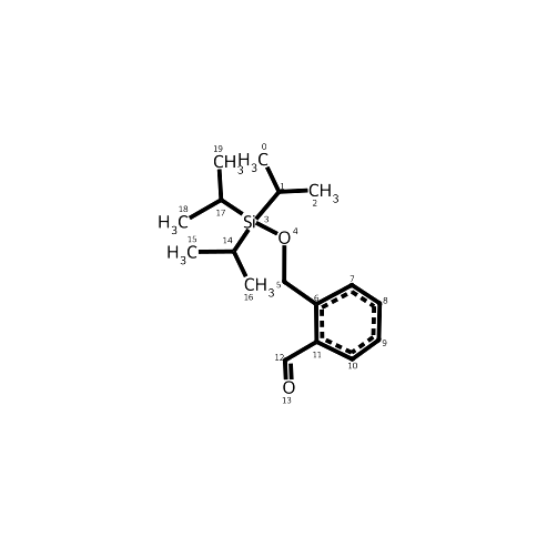 CC(C)[Si](OCc1ccccc1C=O)(C(C)C)C(C)C